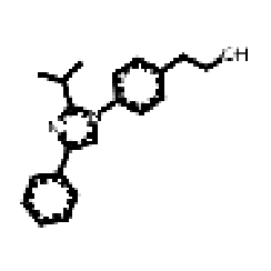 CC(C)c1nc(-c2ccccc2)cn1-c1ccc(CCO)cc1